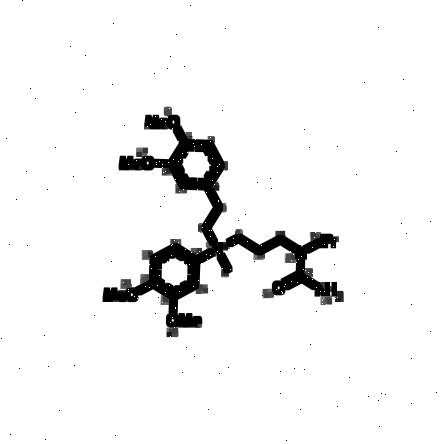 COc1ccc(CC[N+](C)(CCCN(C(N)=O)C(C)C)c2ccc(OC)c(OC)c2)cc1OC